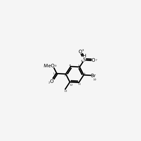 COC(=O)c1cc([SH](=O)=O)c(Br)cc1C